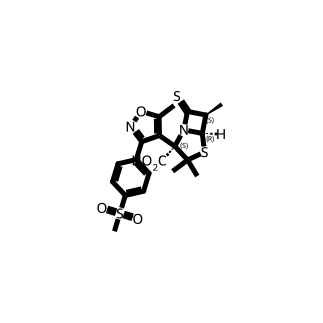 Cc1onc(-c2ccc(S(C)(=O)=O)cc2)c1[C@@]1(C(=O)O)N2C(=S)[C@@H](C)[C@H]2SC1(C)C